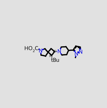 Cn1nccc1C1CCN([C@H]2CC3(CCN(C(=O)O)C3)[C@H]2C(C)(C)C)CC1